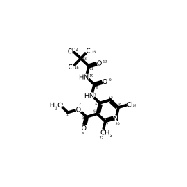 CCOC(=O)c1c(NC(=O)NC(=O)C(Cl)(Cl)Cl)cc(Cl)nc1C